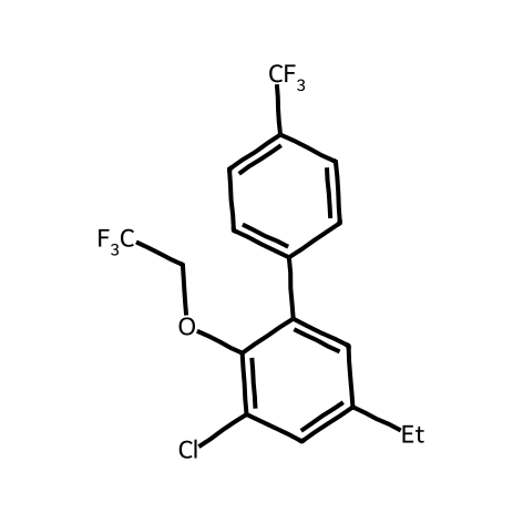 [CH2]Cc1cc(Cl)c(OCC(F)(F)F)c(-c2ccc(C(F)(F)F)cc2)c1